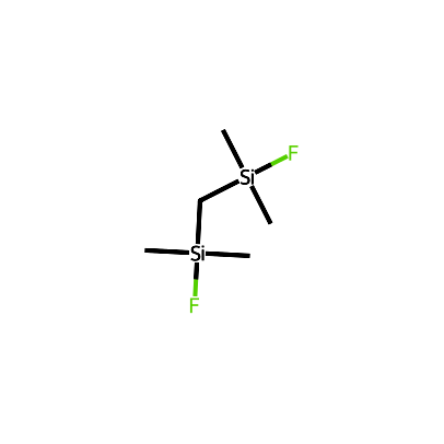 C[Si](C)(F)C[Si](C)(C)F